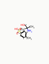 CC(C)(N)CO.Cc1ccc(S(=O)(=O)O)cc1